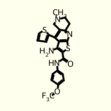 CN1CCc2nc3sc(C(=O)Nc4ccc(OC(F)(F)F)cc4)c(N)c3c(-c3cccs3)c2C1